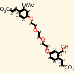 COc1cc(OCCOCCOCCOc2ccc(/C=C/C(=O)O)c(CO)c2)ccc1/C=C/C(=O)O